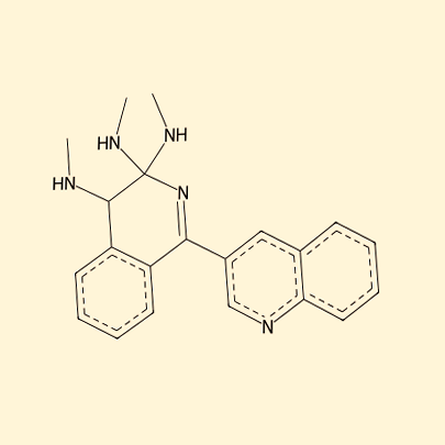 CNC1c2ccccc2C(c2cnc3ccccc3c2)=NC1(NC)NC